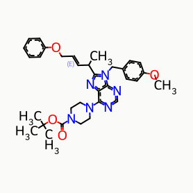 COc1ccc(Cn2c(C(C)/C=C/COc3ccccc3)nc3c(N4CCN(C(=O)OC(C)(C)C)CC4)ncnc32)cc1